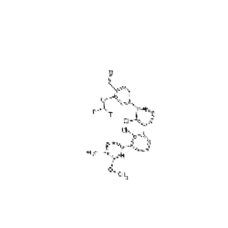 [CH2]c1ccc(-c2cccc(-c3ccnc(-c4ccc(C=O)c(OC(F)F)c4)c3Cl)c2Cl)nc1OC